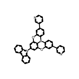 c1cncc(-c2ccc3c(c2)Oc2cc(-n4c5ccccc5c5ccccc54)cc4c2B3c2ccc(-c3cccnc3)cc2O4)c1